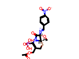 CO[C@@]1(/N=C/c2ccc([N+](=O)[O-])cc2)C(=O)N2C(P(=O)(O)O)=C(COC(C)=O)CS[C@@H]21